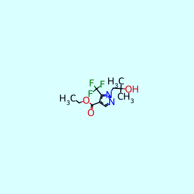 CCOC(=O)c1cnn(CC(C)(C)O)c1C(F)(F)F